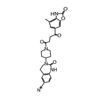 Cc1cc(C(=O)CCC(=O)N2CCC(N3CCc4cc(C#N)ccc4NC3=O)CC2)cc2oc(=O)[nH]c12